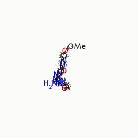 COCCOC1C=CC(N2CCN(C(=O)Cn3cc4c(nc(N)n5nc(-c6ccco6)nc45)n3)CC2)=CC1